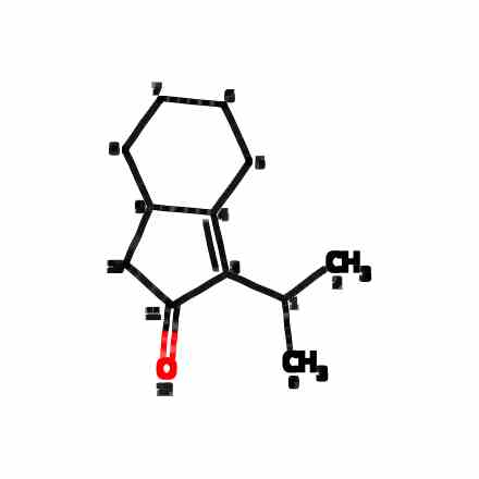 CC(C)C1=C2CCCCC2CC1=O